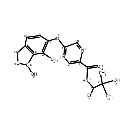 CCC(NC(=O)c1cnc(Oc2ccc3c(c2C)B(O)OC3)cn1)C(C)(C)O